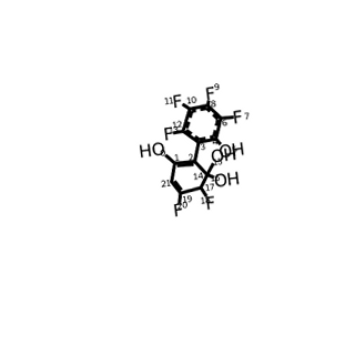 OC1=C(c2c(O)c(F)c(F)c(F)c2F)C(O)(O)C(F)C(F)=C1